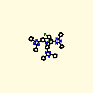 Fc1cccc(F)c1-c1ccc(-c2nc(-c3ccccc3)nc(-c3ccccc3)n2)cc1-n1c2ccc(-c3nc(-c4ccccc4)nc(-c4ccccc4)n3)cc2c2cc(-c3nc(-c4ccccc4)nc(-c4ccccc4)n3)ccc21